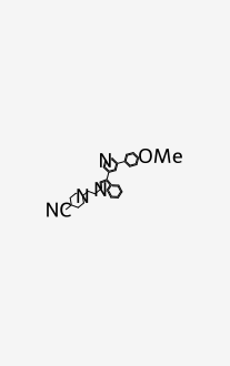 COc1ccc(-c2cncc(-c3cn(CCN4CCC(C#N)CC4)c4ccccc34)c2)cc1